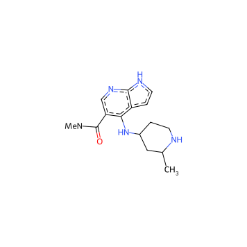 CNC(=O)c1cnc2[nH]ccc2c1NC1CCNC(C)C1